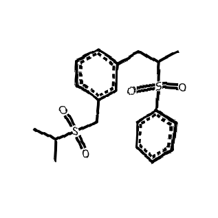 CC(C)S(=O)(=O)Cc1cccc(CC(C)S(=O)(=O)c2ccccc2)c1